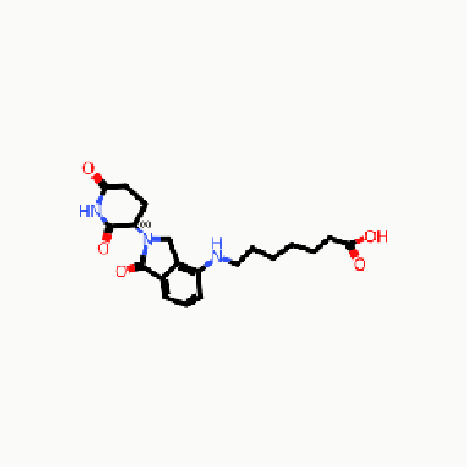 O=C(O)CCCCCCNc1cccc2c1CN([C@@H]1CCC(=O)NC1=O)C2=O